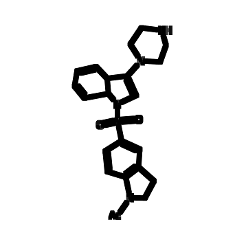 CC(=O)N1CCc2cc(S(=O)(=O)N3C=C(N4CCNCC4)C4C=CC=CC43)ccc21